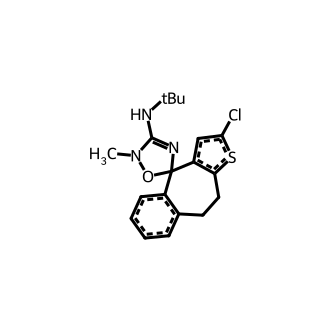 CN1OC2(N=C1NC(C)(C)C)c1ccccc1CCc1sc(Cl)cc12